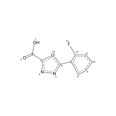 O=C(O)c1nnc(-c2ccccc2F)o1